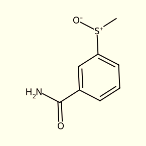 C[S+]([O-])c1cccc(C(N)=O)c1